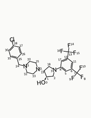 O[C@@H]1CN(c2cc(C(F)(F)F)cc(C(F)(F)F)c2)C[C@H]1N1CCN(Cc2ccc(Cl)cc2)CC1